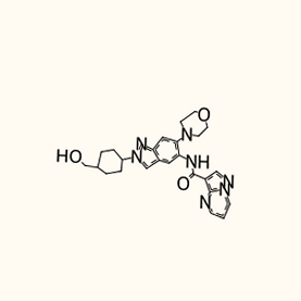 O=C(Nc1cc2cn(C3CCC(CO)CC3)nc2cc1N1CCOCC1)c1cnn2cccnc12